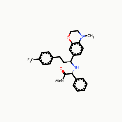 CNC(=O)[C@H](N[C@@H](CCc1ccc(C(F)(F)F)cc1)c1ccc2c(c1)OCCN2C)c1ccccc1